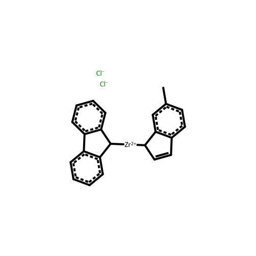 Cc1ccc2c(c1)[CH]([Zr+2][CH]1c3ccccc3-c3ccccc31)C=C2.[Cl-].[Cl-]